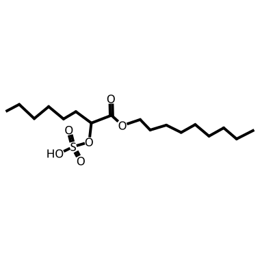 CCCCCCCCCOC(=O)C(CCCCCC)OS(=O)(=O)O